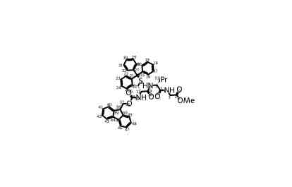 COC(=O)CNC(=O)[C@H](NC(=O)[C@@H](CSC(c1ccccc1)(c1ccccc1)c1ccccc1)NC(=O)OCC1c2ccccc2-c2ccccc21)C(C)C